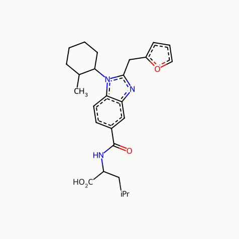 CC(C)CC(NC(=O)c1ccc2c(c1)nc(Cc1ccco1)n2C1CCCCC1C)C(=O)O